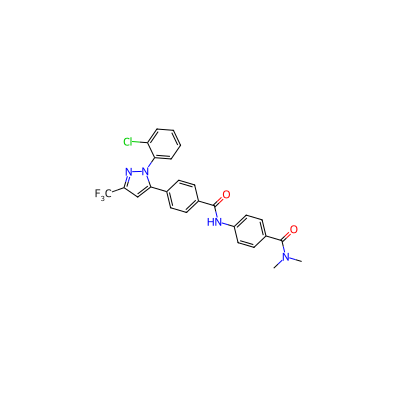 CN(C)C(=O)c1ccc(NC(=O)c2ccc(-c3cc(C(F)(F)F)nn3-c3ccccc3Cl)cc2)cc1